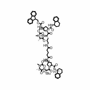 C[C@@H](C(=O)N[C@@H](CCCNC(=O)CCCC(=O)N[C@H]1C[C@@H](C(=O)N[C@@H]2CCCc3ccccc32)N(C(=O)[C@@H](NC(=O)[C@H](C)N(C)C(=O)OC(C)(C)C)C(C)(C)C)C1)C(=O)N1C[C@@H](NC(=O)OCC2c3ccccc3-c3ccccc32)C[C@H]1C(=O)N[C@@H]1CCCc2ccccc21)N(C)C(=O)OC(C)(C)C